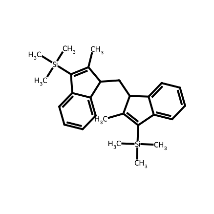 CC1=C([Si](C)(C)C)c2ccccc2C1CC1C(C)=C([Si](C)(C)C)c2ccccc21